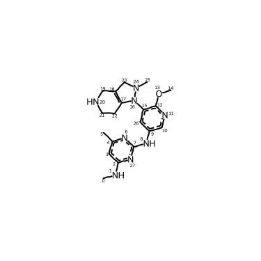 CNc1cc(C)nc(Nc2cnc(OC)c(N3C4=C(CNCC4)CN3C)c2)n1